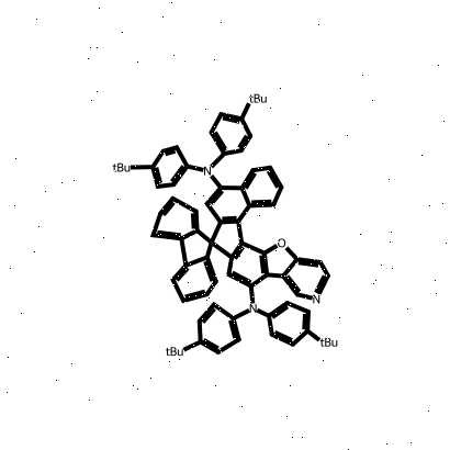 CC(C)(C)c1ccc(N(c2ccc(C(C)(C)C)cc2)c2cc3c(c4ccccc24)-c2c(cc(N(c4ccc(C(C)(C)C)cc4)c4ccc(C(C)(C)C)cc4)c4c2oc2ccncc24)C32c3ccccc3-c3ccccc32)cc1